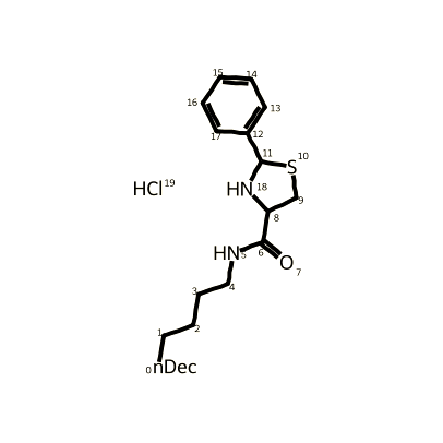 CCCCCCCCCCCCCCNC(=O)C1CSC(c2ccccc2)N1.Cl